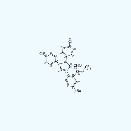 CC(C)(C)c1ccc(C2=N[C@@H](c3ccc(Cl)cc3)[C@@H](c3ccc(Cl)cc3)N2C=O)c(OCC(F)(F)F)c1